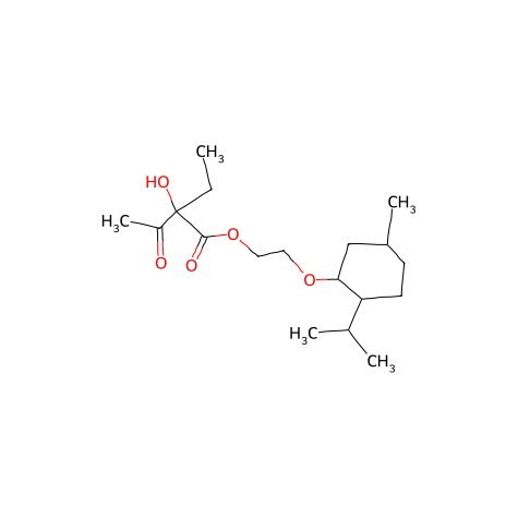 CCC(O)(C(C)=O)C(=O)OCCOC1CC(C)CCC1C(C)C